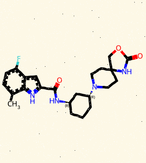 Cc1ccc(F)c2cc(C(=O)N[C@@H]3CCC[C@@H](N4CCC5(CC4)COC(=O)N5)C3)[nH]c12